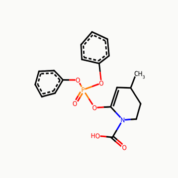 CC1C=C(OP(=O)(Oc2ccccc2)Oc2ccccc2)N(C(=O)O)CC1